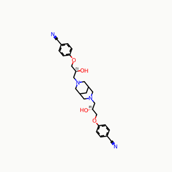 N#Cc1ccc(OC[C@@H](O)CN2CC3CC(C2)CN(C[C@@H](O)COc2ccc(C#N)cc2)C3)cc1